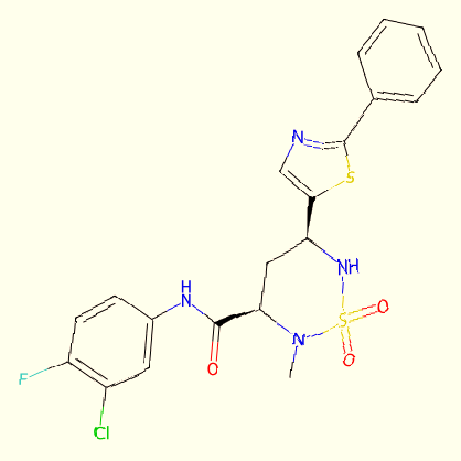 CN1[C@@H](C(=O)Nc2ccc(F)c(Cl)c2)C[C@@H](c2cnc(-c3ccccc3)s2)NS1(=O)=O